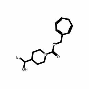 CCC(O)C1CCN(C(=O)OCC2=CC=CCC=C2)CC1